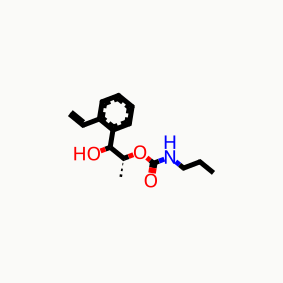 C=Cc1ccccc1C(O)[C@@H](C)OC(=O)NCCC